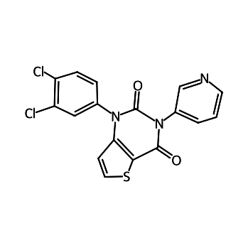 O=c1c2sccc2n(-c2ccc(Cl)c(Cl)c2)c(=O)n1-c1cccnc1